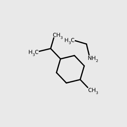 CC1CCC(C(C)C)CC1.CCN